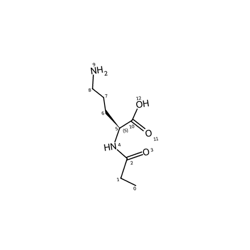 CCC(=O)N[C@@H](CCCN)C(=O)O